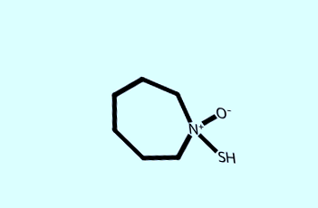 [O-][N+]1(S)CCCCCC1